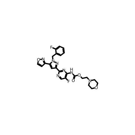 O=C(Nc1nc(-c2cc(-c3ccon3)n(Cc3ccccc3F)n2)ncc1F)OCCN1CCOCC1